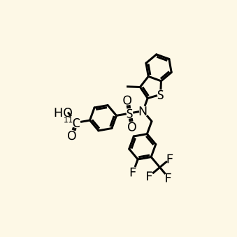 Cc1c(N(Cc2ccc(F)c(C(F)(F)F)c2)S(=O)(=O)c2ccc([11C](=O)O)cc2)sc2ccccc12